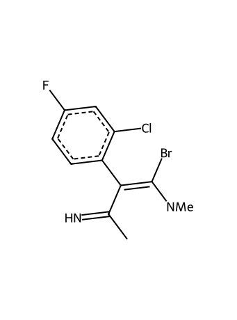 CN/C(Br)=C(\C(C)=N)c1ccc(F)cc1Cl